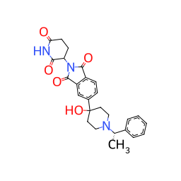 C[C@@H](c1ccccc1)N1CCC(O)(c2ccc3c(c2)C(=O)N(C2CCC(=O)NC2=O)C3=O)CC1